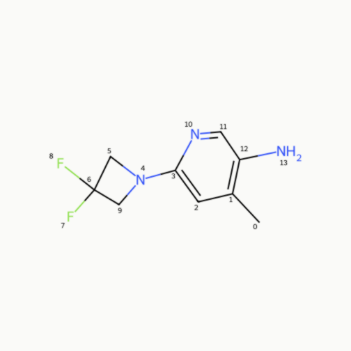 Cc1cc(N2CC(F)(F)C2)ncc1N